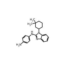 CC1(C)CCCC(n2c(Nc3ccc(N)cc3)nc3ccccc32)C1